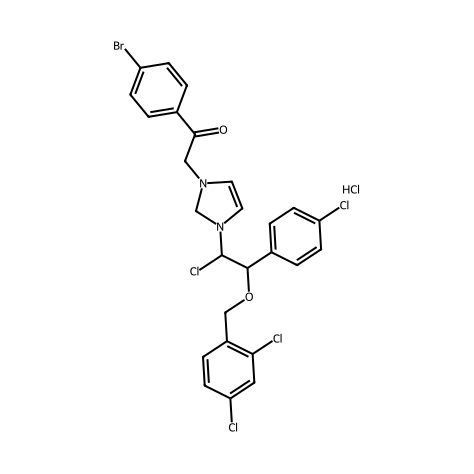 Cl.O=C(CN1C=CN(C(Cl)C(OCc2ccc(Cl)cc2Cl)c2ccc(Cl)cc2)C1)c1ccc(Br)cc1